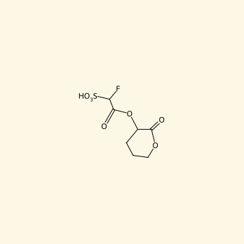 O=C1OCCCC1OC(=O)C(F)S(=O)(=O)O